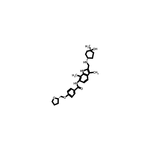 Cc1c(CN[C@H]2CC[C@@](C)(O)CC2)[nH]c2c(C)c(NC(=O)c3ccc(OC[C@@H]4CCCO4)cc3)ccc12